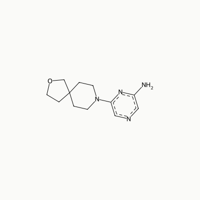 Nc1cncc(N2CCC3(CCOC3)CC2)n1